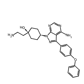 NCC[C@]1(O)CC[C@@H](n2nc(-c3ccc(Oc4ccccc4)cc3)c3c(N)ncnc32)CC1